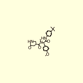 COc1ccc(C(C(=O)Nc2ccc(C(C)(C)C)cc2)N(C)C(=O)C2CNCC(=O)C2)cc1